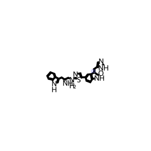 N[C@H](CNc1ncc(-c2ccc3c(c2)/C(=C/c2cnc[nH]2)C(=O)N3)s1)Cc1c[nH]c2ccccc12